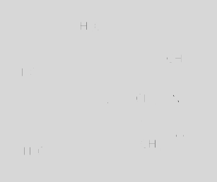 Cc1cc(C)cc(P(CC(C)(C)C2=NCCO2)c2cc(C)cc(C)c2)c1